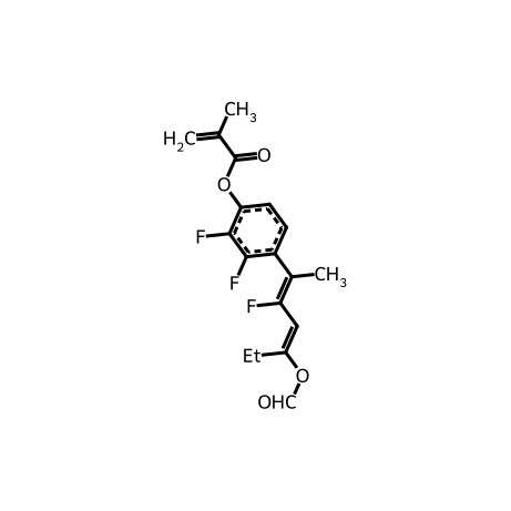 C=C(C)C(=O)Oc1ccc(/C(C)=C(F)/C=C(\CC)OC=O)c(F)c1F